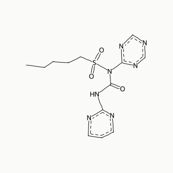 CCCCCS(=O)(=O)N(C(=O)Nc1ncccn1)c1ncncn1